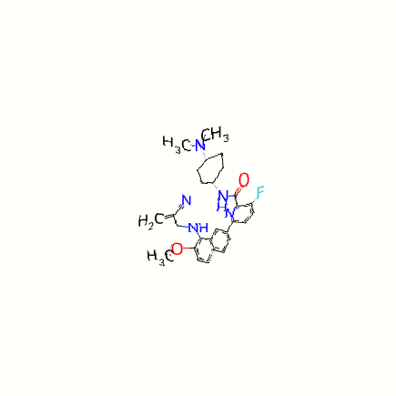 C=C(C#N)CNc1c(OC)ccc2ccc(-c3ccc(F)c(C(=O)N[C@H]4CC[C@@H](N(C)C)CC4)n3)cc12